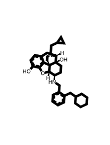 Oc1ccc2c3c1O[C@H]1[C@H](NCc4ccccc4CC4CCCCC4)CC[C@@]4(O)[C@@H](C2)N(CC2CC2)CC[C@]314